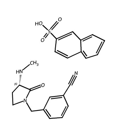 CN[C@H]1CCN(Cc2cccc(C#N)c2)C1=O.O=S(=O)(O)c1ccc2ccccc2c1